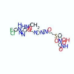 C=CC(=O)Nc1cc2c(Nc3ccc(F)c(Cl)c3)ncnc2cc1OCCCN1CCC(N2CCN(C(=O)CCCCSc3cccc4c3C(=O)N(C3CCC(=O)NC3=O)C4O)CC2)CC1